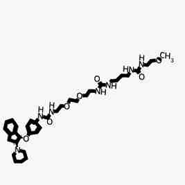 COCCNC(=O)NCCCCNC(=O)NCCOCCOCCNC(=O)Nc1ccc(O[C@H]2c3ccccc3C[C@@H]2N2CCCCC2)cc1